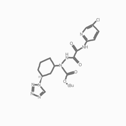 CC(C)(C)OC(=O)N(NC(=O)C(=O)Nc1ccc(Cl)cn1)C1CCC[C@H](n2cnnn2)C1